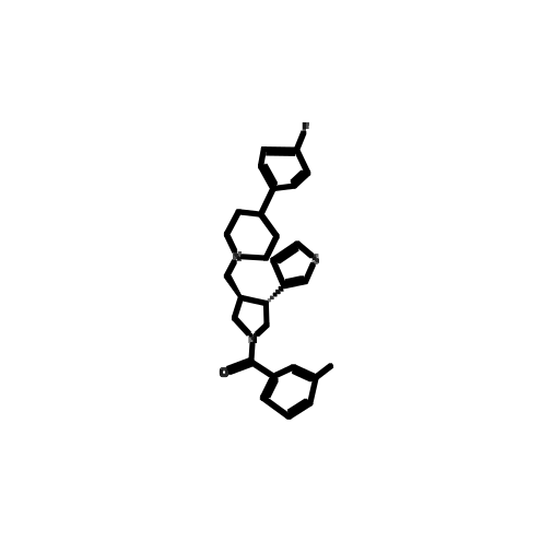 Cc1cccc(C(=O)N2C[C@@H](CN3CCC(c4ccc(F)cc4)CC3)[C@H](c3ccsc3)C2)c1